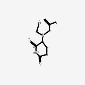 C=C(C)CN(CO)C1CCC(=O)NC1=O